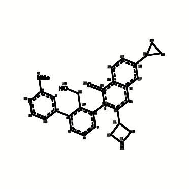 CNc1cc(-c2cccc(-n3c(C4CNC4)cc4cc(C5CC5)ccc4c3=O)c2CO)ccn1